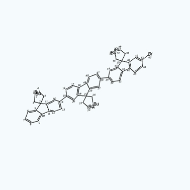 CCC(C)CC1(CC(C)CC)c2ccccc2-c2ccc(-c3ccc4c(c3)C(CC(C)CC)(CC(C)CC)c3cc(-c5ccc6c(c5)C(CC(C)CC)(CC(C)CC)c5cc(Br)ccc5-6)ccc3-4)cc21